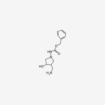 NCC1CN(NC(=O)OCc2ccccc2)CC1O